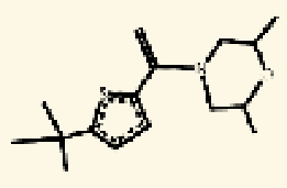 C=C(c1ccc(C(C)(C)C)s1)N1CC(C)OC(C)C1